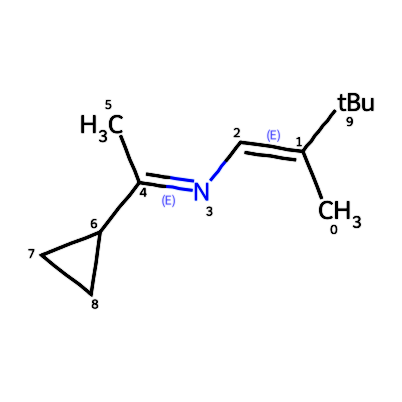 C/C(=C\N=C(/C)C1CC1)C(C)(C)C